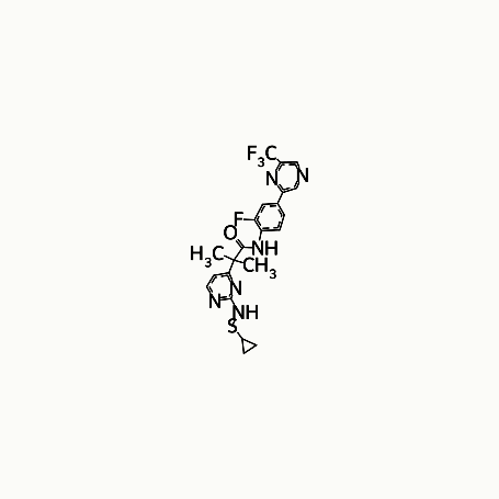 CC(C)(C(=O)Nc1ccc(-c2cncc(C(F)(F)F)n2)cc1F)c1ccnc(NSC2CC2)n1